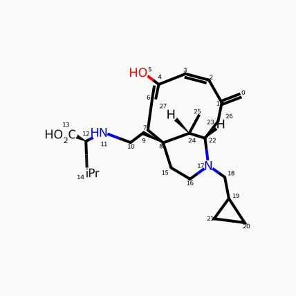 C=C1/C=C\C(O)=C/C[C@@]2(CCN[C@H](C(=O)O)C(C)C)CCN(CC3CC3)[C@@H](C1)[C@H]2C